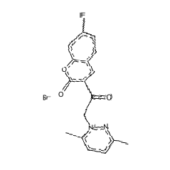 Cc1ccc(C)[n+](CC(=O)c2cc3ccc(F)cc3oc2=O)n1.[Br-]